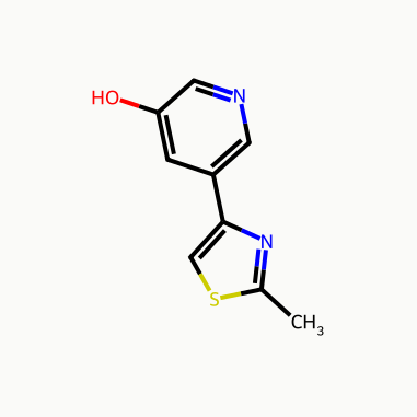 Cc1nc(-c2cncc(O)c2)cs1